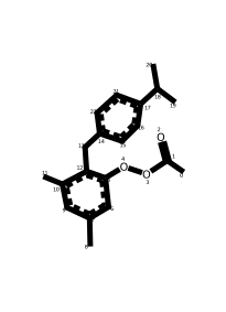 CC(=O)OOc1cc(C)cc(C)c1Cc1ccc(C(C)C)cc1